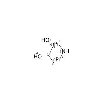 CC(O)CO.CCCNCCC